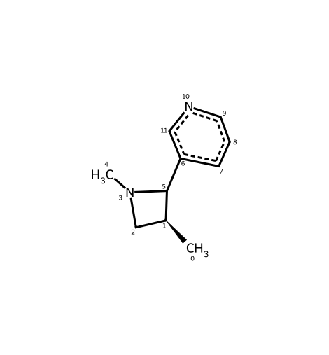 C[C@H]1CN(C)C1c1cccnc1